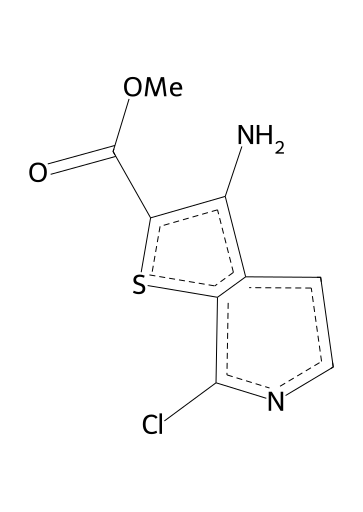 COC(=O)c1sc2c(Cl)nccc2c1N